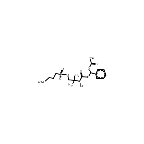 CC(=O)NCCCS(=O)(=O)OCC(C)(C)[C@@H](O)C(=O)OC(OC(=O)C(C)(C)C)c1ccccc1